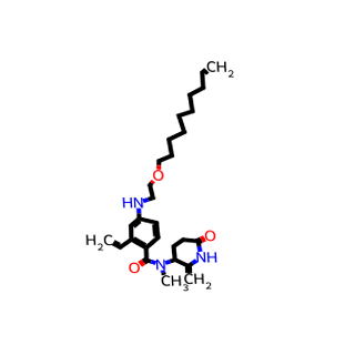 C=CCCCCCCCCOCCNc1ccc(C(=O)N(C)C2CCC(=O)NC2=C)c(C=C)c1